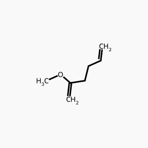 C=CCCC(=C)OC